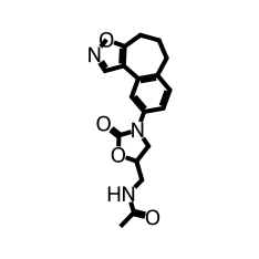 CC(=O)NCC1CN(c2ccc3c(c2)-c2cnoc2CCC3)C(=O)O1